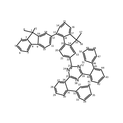 CC1(C)c2ccccc2-c2ccc(-c3cccc4c3-c3ccc(-c5nc(-c6ccccc6-c6ccccc6)nc(-c6ccccc6-c6ccccc6)n5)cc3C4(C)C)cc21